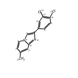 Cc1ccn2cc(-c3ccc(Cl)c(Cl)c3)nc2c1